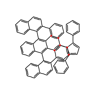 c1ccc(-c2ccc3ccccc3c2-c2c3ccccc3c(-c3c(-c4ccccc4)ccc4ccccc34)c3cc(-n4c(-c5ccccc5)ccc4-c4ccccc4)ccc23)cc1